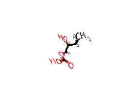 CCC(O)COC(=O)O